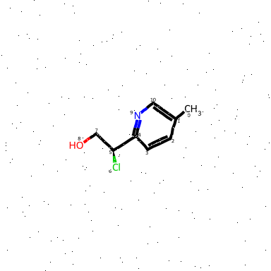 Cc1ccc([C@@H](Cl)CO)nc1